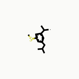 [CH2]C(C)c1cc(CC(C)C)cc(SC)c1